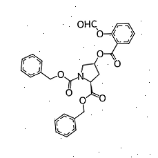 O=COc1ccccc1C(=O)OC1C[C@@H](C(=O)OCc2ccccc2)N(C(=O)OCc2ccccc2)C1